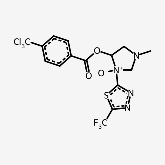 CN1CC(OC(=O)c2ccc(C(Cl)(Cl)Cl)cc2)[N+]([O-])(c2nnc(C(F)(F)F)s2)C1